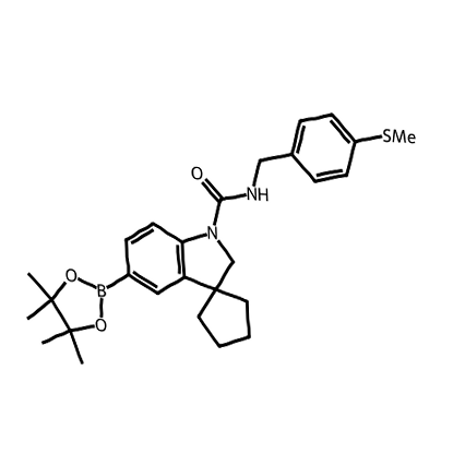 CSc1ccc(CNC(=O)N2CC3(CCCC3)c3cc(B4OC(C)(C)C(C)(C)O4)ccc32)cc1